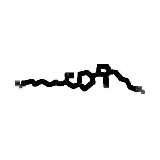 CCCCCOCC(O)CN1CCC(N2CCN(CCCCC)C2=O)CC1